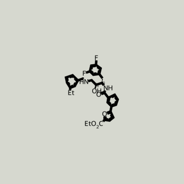 CCOC(=O)c1ccc(-c2cccc(C(=O)N[C@@H](Cc3cc(F)cc(F)c3)[C@@H](O)CNCc3cccc(CC)c3)c2)o1